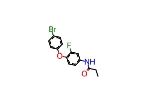 CCC(=O)Nc1ccc(Oc2ccc(Br)cc2)c(F)c1